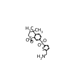 CC1(C)CCS(=O)(=O)c2cc(S(=O)(=O)c3ccc(CN)s3)ccc21